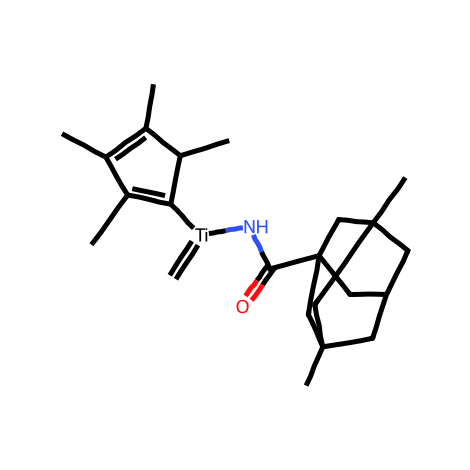 [CH2]=[Ti]([NH]C(=O)C12CC3CC(C)(CC(C)(C3)C1)C2)[C]1=C(C)C(C)=C(C)C1C